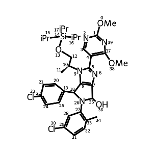 COc1ncc(-c2nc3c(n2[C@@H](C)CO[Si](C(C)C)(C(C)C)C(C)C)C(c2ccc(Cl)cc2)N(c2cc(Cl)ccc2C)C3O)c(OC)n1